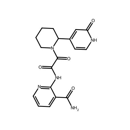 NC(=O)c1cccnc1NC(=O)C(=O)N1CCCCC1c1cc[nH]c(=O)c1